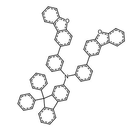 c1ccc(C2(c3ccccc3)c3ccccc3-c3ccc(N(c4cccc(-c5ccc6oc7ccccc7c6c5)c4)c4cccc(-c5ccc6oc7ccccc7c6c5)c4)cc32)cc1